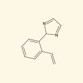 C=Cc1ccccc1C1N=CC=N1